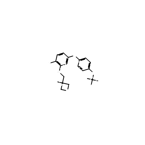 Nc1ccc(Oc2ccc(OC(F)(F)F)cc2)cc1NCC1(O)COC1